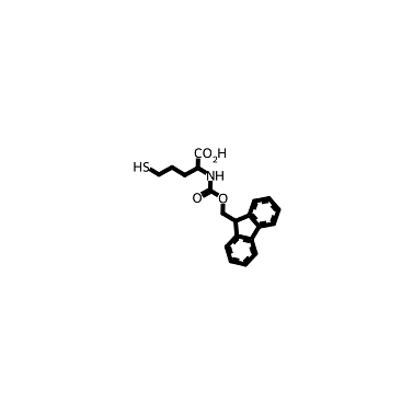 O=C(NC(CCCS)C(=O)O)OCC1c2ccccc2-c2ccccc21